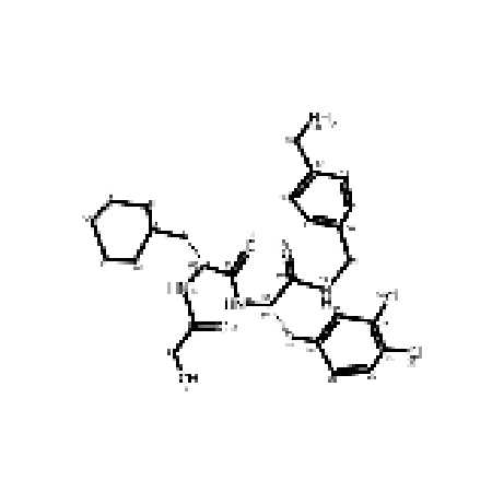 CCC(=O)N[C@H](CC1CCCCC1)C(=O)N[C@@H](Cc1ccc(Cl)c(Cl)c1)C(=O)NCc1ccc(CN)cc1